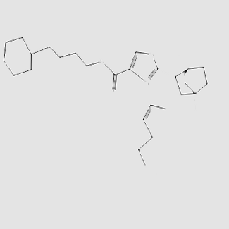 O=C(O)CC/C=C\C[C@@H]1[C@H](c2nc(C(=O)NCCCCC3CCCCC3)c[nH]2)[C@H]2CC[C@@H]1O2